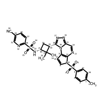 Cc1ccc(S(=O)(=O)n2ccc3c2ncc2nnc([C@H]4C[C@@H](NS(=O)(=O)c5ccc(C#N)cn5)C4(C)C)n23)cc1